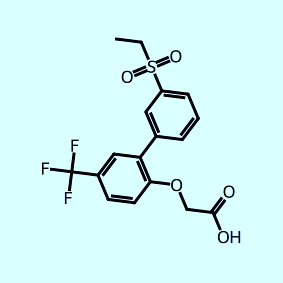 CCS(=O)(=O)c1cccc(-c2cc(C(F)(F)F)ccc2OCC(=O)O)c1